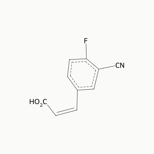 N#Cc1cc(/C=C\C(=O)O)ccc1F